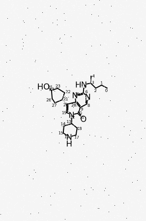 CCC[C@H](C)Nc1ncc2c(=O)n(C3CCNCC3)cc([C@H]3CC[C@H](O)CC3)c2n1